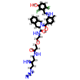 Cc1ccc(C(=O)N2Cc3ccccc3C[C@H]2C(=O)NCCOCCC(=O)NCCC(=N)CCN=[N+]=[N-])cc1NCc1c(F)ccc(O)c1F